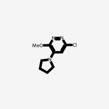 COc1nnc(Cl)cc1N1CCCC1